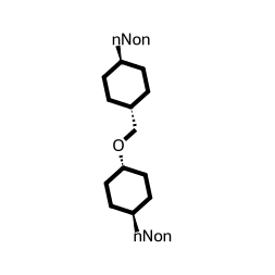 CCCCCCCCC[C@H]1CC[C@H](CO[C@H]2CC[C@H](CCCCCCCCC)CC2)CC1